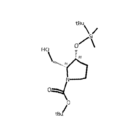 CC(C)(C)OC(=O)N1CC[C@@H](O[Si](C)(C)C(C)(C)C)[C@H]1CO